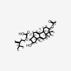 C=C(CC[C@@H](C(=O)O)[C@H]1[C@H](O)C[C@@]2(C)C3=CC[C@H]4C(C)(C)[C@H](OC(C)=O)CC[C@]4(C)C3=CC[C@]12C)C(C)C